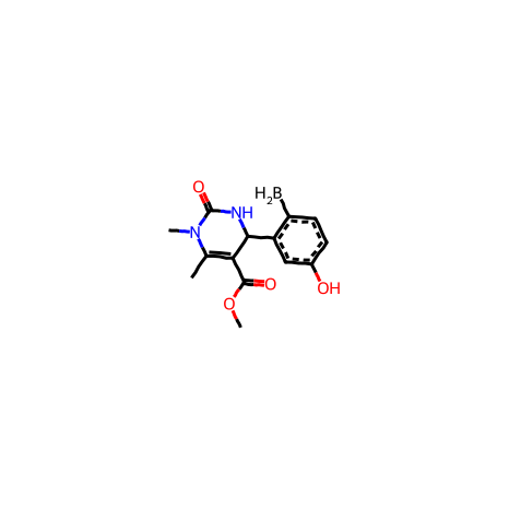 Bc1ccc(O)cc1C1NC(=O)N(C)C(C)=C1C(=O)OC